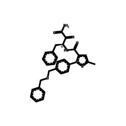 Cc1cc(C(=O)N[C@@H](Cc2ccccc2)C(=O)C(N)=O)n(-c2ccc(COCc3ccccc3)cc2)n1